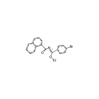 CCO/C(=N\C(=O)c1cccc2ccccc12)c1ccc(Br)cc1